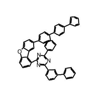 c1ccc(-c2ccc(-c3ccc(-c4ccc5oc6cccc(-c7nc(-c8ccccc8)nc(-c8cccc(-c9ccccc9)c8)n7)c6c5c4)cc3)cc2)cc1